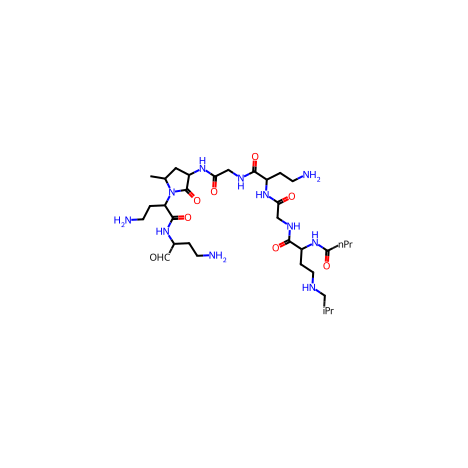 CCCC(=O)NC(CCNCC(C)C)C(=O)NCC(=O)NC(CCN)C(=O)NCC(=O)NC1CC(C)N(C(CCN)C(=O)NC(C=O)CCN)C1=O